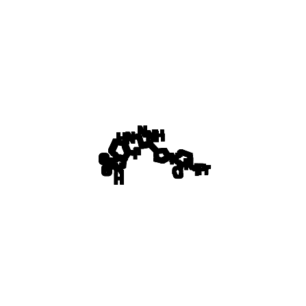 CC(C)N1CCN(C2CCC(c3cc(Nc4ccc5c(c4F)CNS5(=O)=O)n[nH]3)C2)C1=O